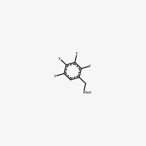 CCCC(C)Cc1[c]c(F)c(F)c(F)c1F